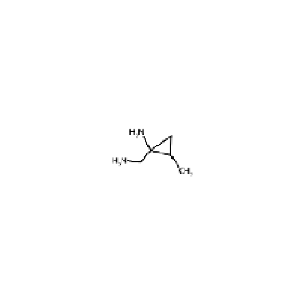 CC1CC1(N)CN